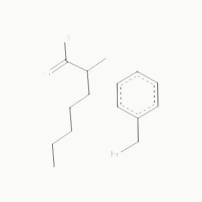 BrCc1ccccc1.CCCCCC(C)C(=O)O